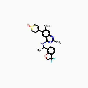 COc1cc2nc(C)nc(NC(C)c3cccc4c3OCC4(F)F)c2cc1C1=CC[S+]([O-])CC1